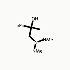 CCCC(C)(O)CN(NC)NC